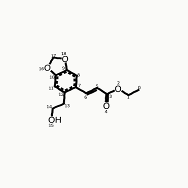 CCOC(=O)/C=C/c1cc2c(cc1CCO)OCO2